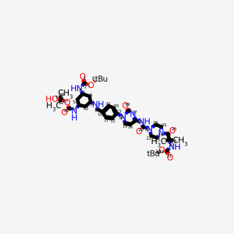 CC(C)(C)OC(=O)NC1CC(NCc2ccc(-n3ccc(NC(=O)N4CCN(C(=O)C(C)(C)NC(=O)OC(C)(C)C)CC4)nc3=O)cc2)CC(NC(=O)OC(C)(C)O)C1